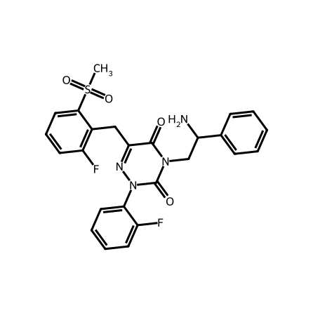 CS(=O)(=O)c1cccc(F)c1Cc1nn(-c2ccccc2F)c(=O)n(CC(N)c2ccccc2)c1=O